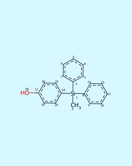 C[Si](c1ccccc1)(c1ccccc1)c1ccc(O)cc1